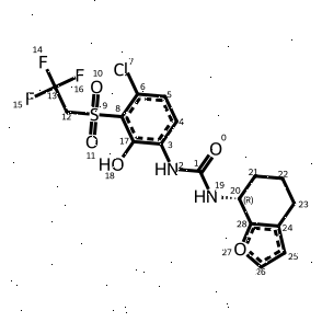 O=C(Nc1ccc(Cl)c(S(=O)(=O)CC(F)(F)F)c1O)N[C@@H]1CCCc2ccoc21